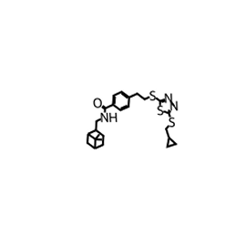 CC1(C)C2CCC(CNC(=O)c3ccc(CCSc4nnc(SCC5CC5)s4)cc3)C1C2